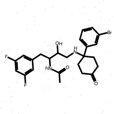 CC(=O)NC(Cc1cc(F)cc(F)c1)C(O)CNC1(c2cccc(Br)c2)CCC(=O)CC1